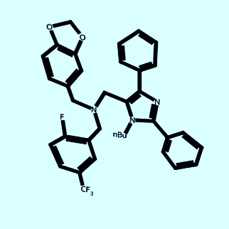 CCCCn1c(-c2ccccc2)nc(-c2ccccc2)c1CN(Cc1ccc2c(c1)OCO2)Cc1cc(C(F)(F)F)ccc1F